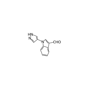 O=Cc1cn(-c2cn[nH]c2)c2ccccc12